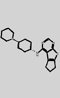 c1nc(N[C@H]2CC[C@H](N3CCCCC3)CC2)c2c3c(sc2n1)CCC3